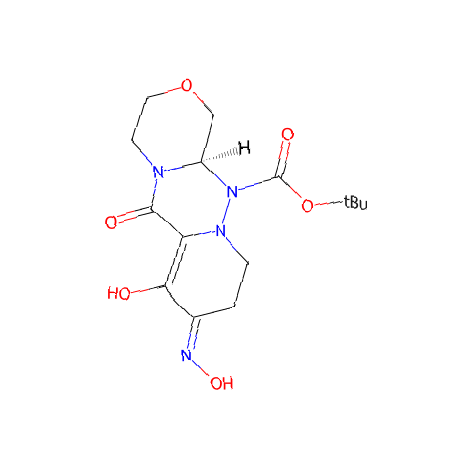 CC(C)(C)OC(=O)N1[C@@H]2COCCN2C(=O)C2=C(O)/C(=N/O)CCN21